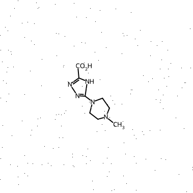 CN1CCN(c2nnc(C(=O)O)[nH]2)CC1